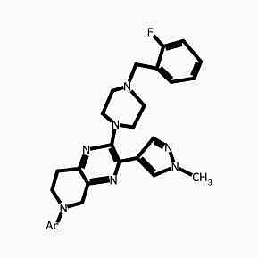 CC(=O)N1CCc2nc(N3CCN(Cc4ccccc4F)CC3)c(-c3cnn(C)c3)nc2C1